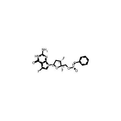 Nc1nc2c(c(F)cn2[C@H]2C[C@H](F)[C@@](F)(CO[PH](=O)Oc3ccccc3)O2)c(=O)[nH]1